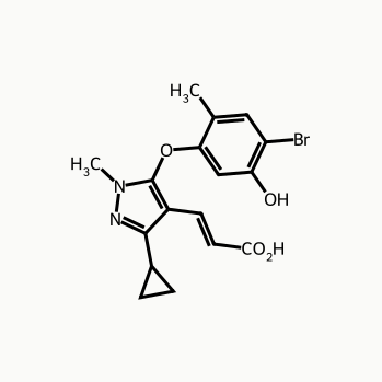 Cc1cc(Br)c(O)cc1Oc1c(C=CC(=O)O)c(C2CC2)nn1C